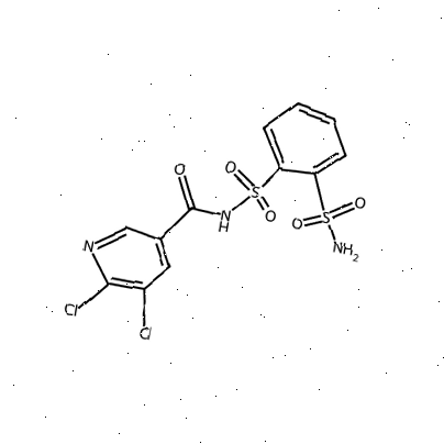 NS(=O)(=O)c1ccccc1S(=O)(=O)NC(=O)c1cnc(Cl)c(Cl)c1